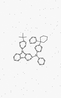 CC(C)(C)c1ccc(-n2c3ccccc3c3ccc(N(c4ccccc4)c4ccc(C5(c6ccccc6)CCCCC5)cc4)cc32)cc1